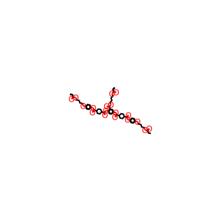 C=CC(=O)OCCCCOC(=O)c1cc(OC(=O)C2CCC(C(=O)Oc3ccc(OCCCCOC(=O)CC)cc3)CC2)ccc1OC(=O)C1CCC(C(=O)Oc2ccc(OCCCCOC(=O)C=C)cc2)CC1